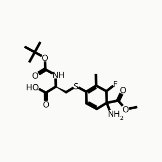 COC(=O)C1(N)C=CC(SC[C@H](NC(=O)OC(C)(C)C)C(=O)O)=C(C)C1F